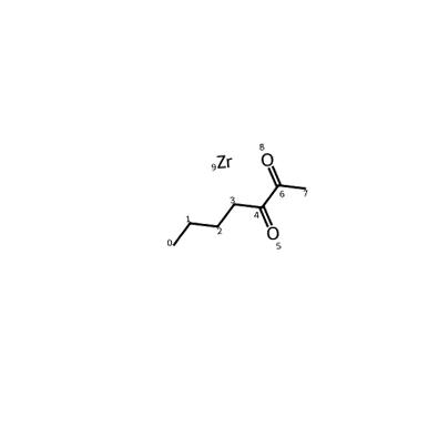 CCCCC(=O)C(C)=O.[Zr]